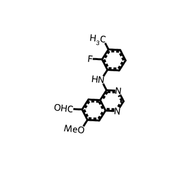 COc1cc2ncnc(Nc3cccc(C)c3F)c2cc1C=O